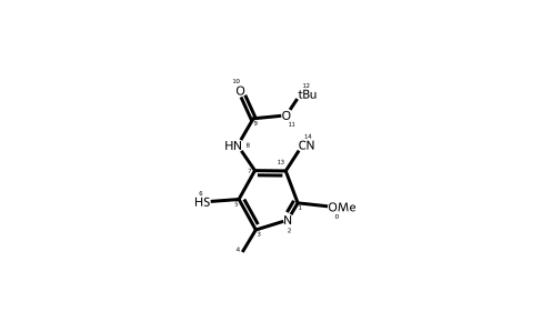 COc1nc(C)c(S)c(NC(=O)OC(C)(C)C)c1C#N